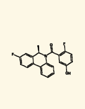 C[C@@H]1c2cc(F)ccc2-c2ccccc2N1C(=O)c1cc(O)ccc1F